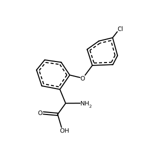 NC(C(=O)O)c1ccccc1Oc1ccc(Cl)cc1